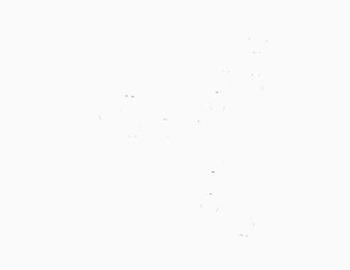 O=C(c1ccc(-c2cc(-c3ccc(C(=O)c4ccccc4Oc4ccccc4)cc3)cc(-c3ccc(C(=O)c4ccccc4Oc4ccccc4)cc3)c2)cc1)c1ccccc1Oc1ccccc1